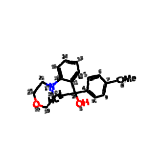 C#CC(O)(c1ccc(OC)cc1)c1ccccc1N1CCOCC1